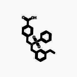 CCc1cccc(CN(Cc2ccc(C(=O)O)cc2)S(=O)(=O)c2ccccc2)c1